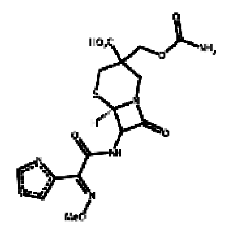 CON=C(C(=O)NC1C(=O)N2CC(COC(N)=O)(C(=O)O)CS[C@H]12)c1cscn1